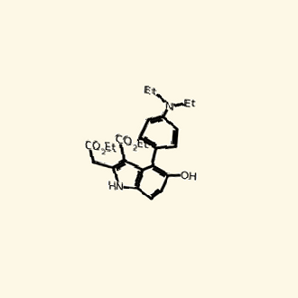 CCOC(=O)Cc1[nH]c2ccc(O)c(-c3ccc(N(CC)CC)cc3)c2c1C(=O)OCC